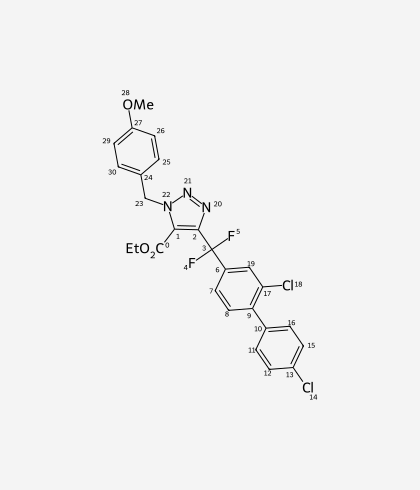 CCOC(=O)c1c(C(F)(F)c2ccc(-c3ccc(Cl)cc3)c(Cl)c2)nnn1Cc1ccc(OC)cc1